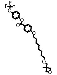 CC1(COCCCCCCCCOc2ccc(C(=O)Oc3ccc(OC(F)(F)F)cc3)cc2)COC1